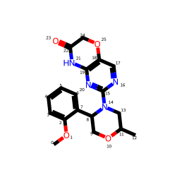 COc1ccccc1C1COC(C)CN1c1ncc2c(n1)NC(=O)CO2